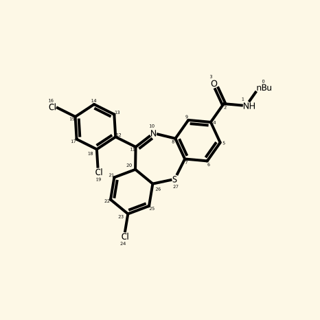 CCCCNC(=O)c1ccc2c(c1)N=C(c1ccc(Cl)cc1Cl)C1C=CC(Cl)=CC1S2